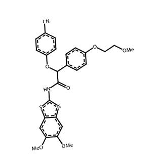 COCCOc1ccc(C(Oc2ccc(C#N)cc2)C(=O)Nc2nc3cc(OC)c(OC)cc3s2)cc1